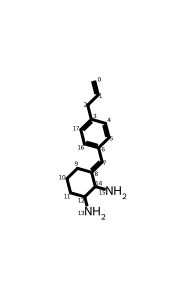 C=CCc1ccc(C=C2CCCC(N)C2N)cc1